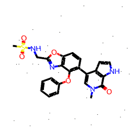 Cn1cc(-c2ccc3oc(CNS(C)(=O)=O)nc3c2Oc2ccccc2)c2cc[nH]c2c1=O